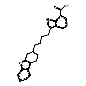 O=C(O)c1cccc2c(CCCCN3CCc4c(oc5ccccc45)C3)c[nH]c12